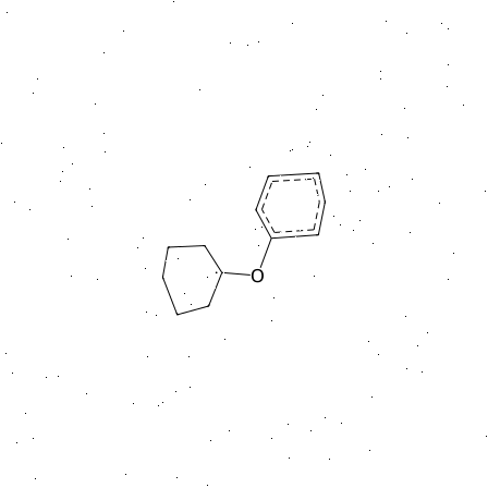 c1ccc(O[C]2CCCCC2)cc1